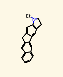 CCN1CCc2cc3c(cc21)Cc1cc2ccccc2cc1-3